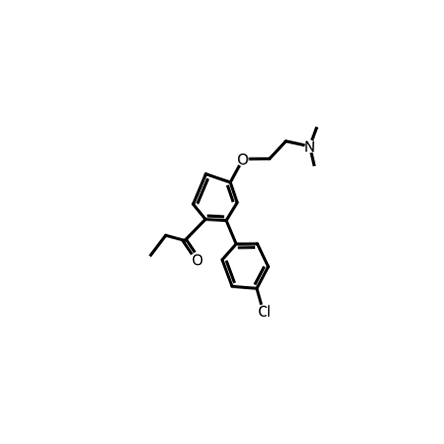 CCC(=O)c1ccc(OCCN(C)C)cc1-c1ccc(Cl)cc1